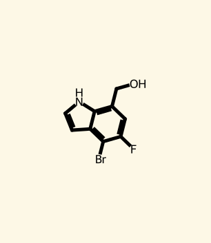 OCc1cc(F)c(Br)c2cc[nH]c12